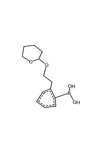 OB(O)c1ccccc1CCOC1CCCCO1